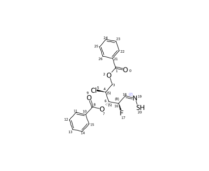 O=C(OC[C@H](Cl)[C@@H](OC(=O)c1ccccc1)[C@H](F)/C=N\S)c1ccccc1